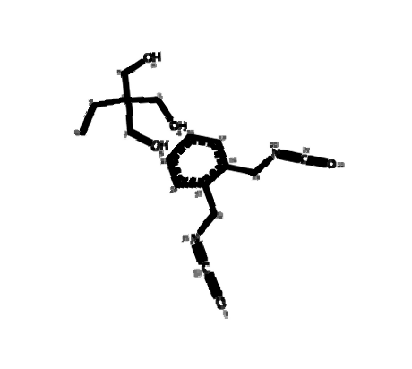 CCC(CO)(CO)CO.O=C=NCc1ccccc1CN=C=O